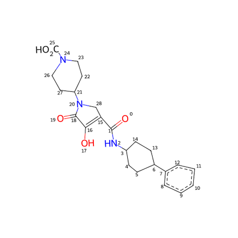 O=C(NC1CCC(c2ccccc2)CC1)C1=C(O)C(=O)N(C2CCN(C(=O)O)CC2)C1